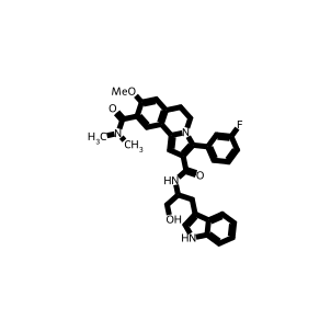 COc1cc2c(cc1C(=O)N(C)C)-c1cc(C(=O)NC(CO)Cc3c[nH]c4ccccc34)c(-c3cccc(F)c3)n1CC2